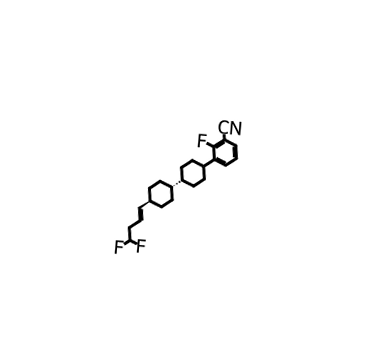 N#Cc1cccc(C2CCC([C@H]3CC[C@H](/C=C/CC(F)F)CC3)CC2)c1F